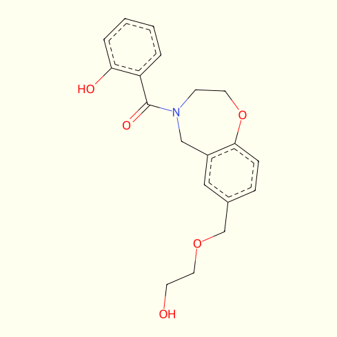 O=C(c1ccccc1O)N1CCOc2ccc(COCCO)cc2C1